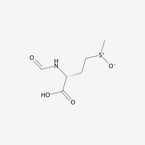 C[S+]([O-])CC[C@@H](NC=O)C(=O)O